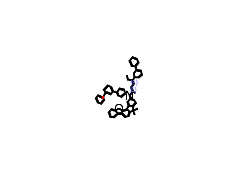 CC/C(=C\C=C(/C)N(c1ccc(-c2cccc(-c3ccccc3)c2)cc1)c1ccc2c(c1)-c1c(ccc3c1oc1ccccc13)C2(C)C)C1C=CC=C(c2ccccc2)C1